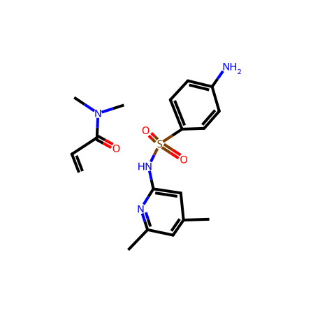 C=CC(=O)N(C)C.Cc1cc(C)nc(NS(=O)(=O)c2ccc(N)cc2)c1